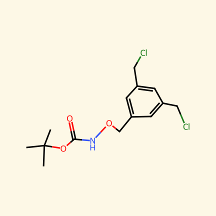 CC(C)(C)OC(=O)NOCc1cc(CCl)cc(CCl)c1